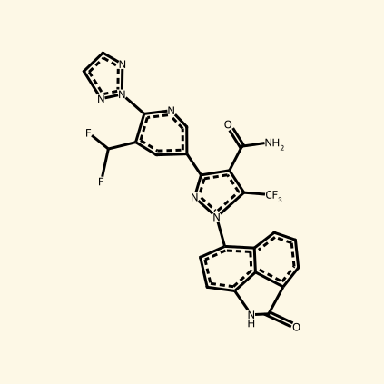 NC(=O)c1c(-c2cnc(-n3nccn3)c(C(F)F)c2)nn(-c2ccc3c4c(cccc24)C(=O)N3)c1C(F)(F)F